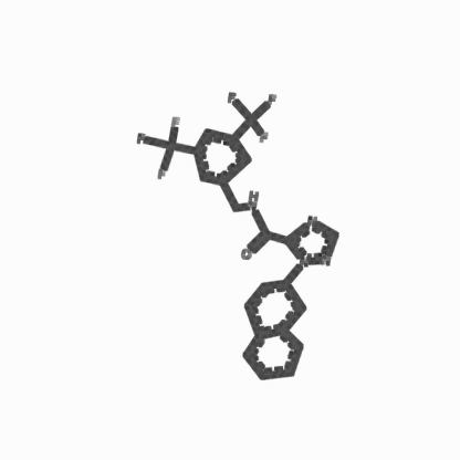 O=C(NCc1cc(C(F)(F)F)cc(C(F)(F)F)c1)c1ncnn1-c1ccc2ccccc2c1